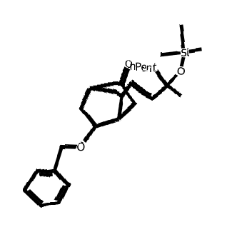 CCCCCC(C)(C=CC1C2CC(OCc3ccccc3)C1CC2=O)O[Si](C)(C)C